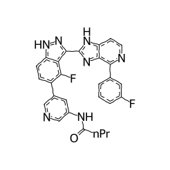 CCCC(=O)Nc1cncc(-c2ccc3[nH]nc(-c4nc5c(-c6cccc(F)c6)nccc5[nH]4)c3c2F)c1